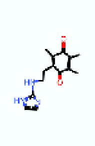 CC1=C(C)C(=O)C(CCNc2ncc[nH]2)=C(C)C1=O